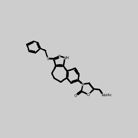 CC(=O)NCC1CN(c2ccc3c(c2)CCCc2c(SCc4ccccc4)n[nH]c2-3)C(=O)O1